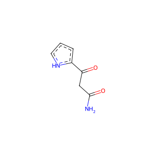 NC(=O)CC(=O)c1ccc[nH]1